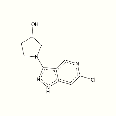 OC1CCN(c2n[nH]c3cc(Cl)ncc23)C1